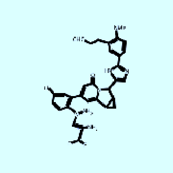 CNc1ccc(-c2ncc(C3C4CC4c4cc(-c5cc(Cl)ccc5N(N)/C=C(\N)C(F)F)cc(=O)n43)[nH]2)cc1CCC=O